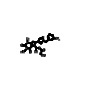 CCCOC(=O)OC(CC)n1c(-c2cnn(Cc3cccc(C(F)(F)F)c3)c2)cc2c1c(=O)n(CCC)c(=O)n2CC